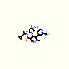 Cc1ncc(C(=O)NC(C)C2CC2)c(N2CC[C@](C)(N)C2)c1-c1ccnc(C(F)(F)F)c1